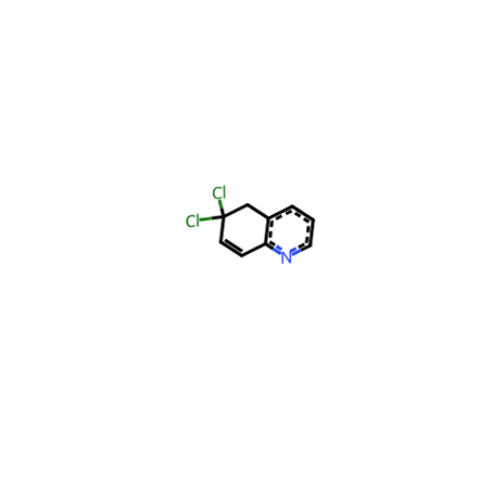 ClC1(Cl)C=Cc2ncccc2C1